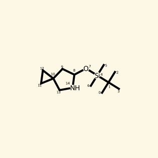 CC(C)(C)[Si](C)(C)OC1CC2(CC2)CN1